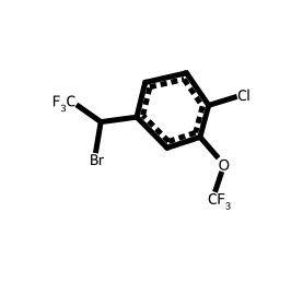 FC(F)(F)Oc1cc(C(Br)C(F)(F)F)ccc1Cl